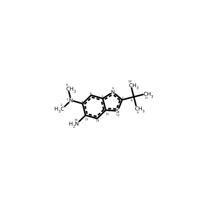 CN(C)c1cc2nc(C(C)(C)C)sc2cc1N